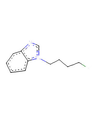 BrCCCCn1cnc2ccccc21